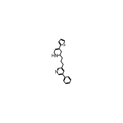 C1=C(c2cccs2)CC(CCCc2cncc(-c3ccccc3)c2)NC1